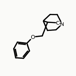 c1ccc(OCC2CN3CCC2CC3)cc1